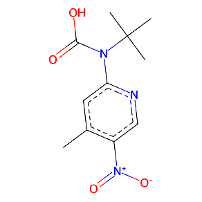 Cc1cc(N(C(=O)O)C(C)(C)C)ncc1[N+](=O)[O-]